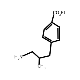 CCOC(=O)c1ccc(CC(C)CN)cc1